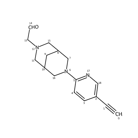 C#Cc1ccc(N2CC3CC(CN(CC=O)C3)C2)nc1